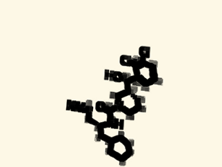 CNC[C@H](CC1CCCCC1)NC(=O)N1CCC[C@@H]([C@H](O)c2cccc(Cl)c2Cl)C1